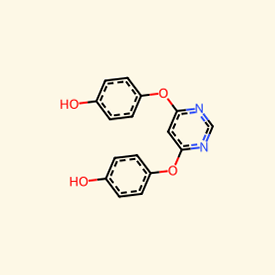 Oc1ccc(Oc2cc(Oc3ccc(O)cc3)ncn2)cc1